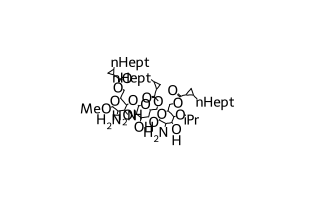 CCCCCCCC1CC1C(=O)OCC1OC(OC2C(COC(=O)C3CC3CCCCCCC)OC(OC3C(COC(=O)C4CC4CCCCCCC)OC(OC)C(N)C3O)C(N)C2O)C(N)C(O)C1OC(C)C